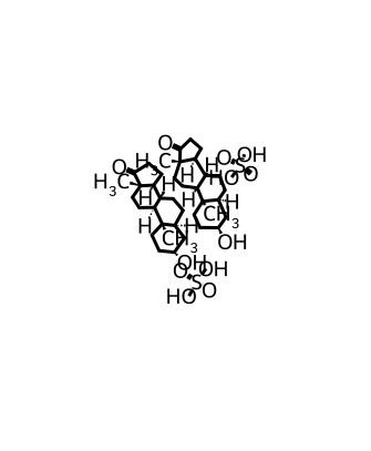 C[C@]12CC[C@@H](O)C[C@@H]1CC[C@@H]1[C@@H]2CC[C@]2(C)C(=O)CC[C@@H]12.C[C@]12CC[C@H](O)C[C@@H]1CC[C@@H]1[C@@H]2CC[C@]2(C)C(=O)CC[C@@H]12.O=S(=O)(O)O.O=S(=O)(O)O